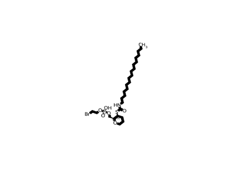 CCCCCCCCCCCCCCCCCCNC(=O)S[C@H]1CCCO[C@H]1COP(=O)(O)OCCBr